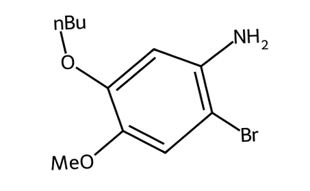 CCCCOc1cc(N)c(Br)cc1OC